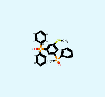 CSc1cc(P(C)(=O)c2ccccc2)cc(P(=O)(c2ccccc2)c2ccccc2)c1